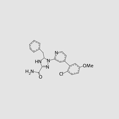 COc1ccc(Cl)c(-c2ccnc(N3N=C(C(N)=O)NC3Cc3ccccc3)c2)c1